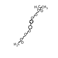 C=CC(=O)OCCCOCCOC1CCC(c2ccc(OCCOCCOC(=O)C(=C)C)cc2)CC1